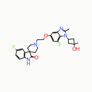 Cc1nc2cc(OCCN3CCC4(CC3)C(=O)Nc3ccc(F)cc34)cc(F)c2n1C1CC(C)(O)C1